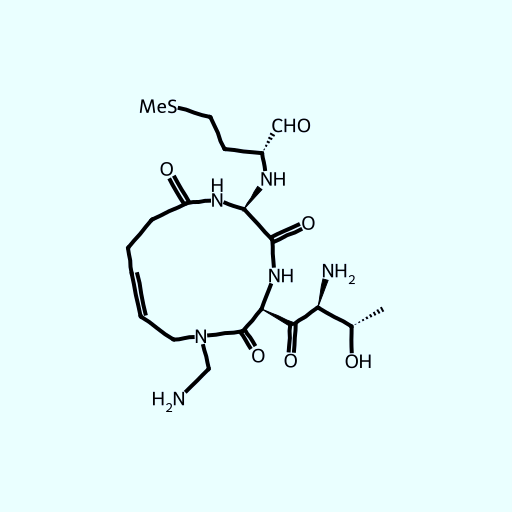 CSCC[C@H](C=O)N[C@@H]1NC(=O)CCC=CCN(CN)C(=O)[C@H](C(=O)[C@@H](N)[C@H](C)O)NC1=O